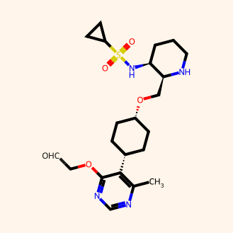 Cc1ncnc(OCC=O)c1[C@H]1CC[C@@H](OC[C@@H]2NCCC[C@@H]2NS(=O)(=O)C2CC2)CC1